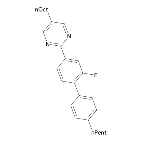 CCCCCCCCc1cnc(-c2ccc(-c3ccc(CCCCC)cc3)c(F)c2)nc1